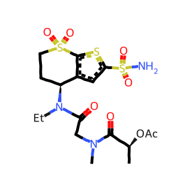 CCN(C(=O)CN(C)C(=O)[C@H](C)OC(C)=O)[C@H]1CCS(=O)(=O)c2sc(S(N)(=O)=O)cc21